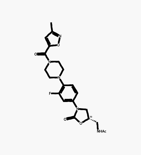 CC(=O)NC[C@H]1CN(c2ccc(N3CCN(C(=O)c4cc(C)no4)CC3)c(F)c2)C(=O)O1